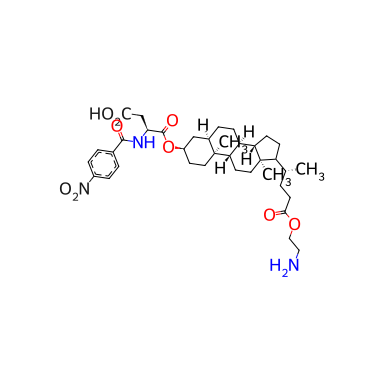 C[C@H](CCC(=O)OCCN)C1CC[C@H]2[C@@H]3CC[C@@H]4C[C@H](OC(=O)[C@H](CC(=O)O)NC(=O)c5ccc([N+](=O)[O-])cc5)CC[C@]4(C)[C@H]3CC[C@]12C